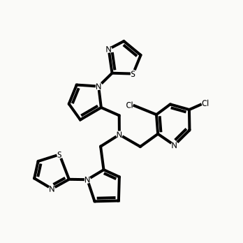 Clc1cnc(CN(Cc2cccn2-c2nccs2)Cc2cccn2-c2nccs2)c(Cl)c1